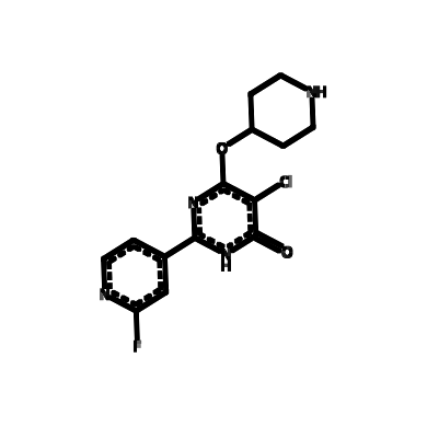 O=c1[nH]c(-c2ccnc(F)c2)nc(OC2CCNCC2)c1Cl